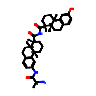 C[C@H](N)C(=O)Nc1ccc2c(c1)[C@@]1(C)CCC[C@](C)(C(=O)NC(=O)[C@@]3(C)CCC[C@]4(C)c5cc(O)ccc5CC[C@@H]34)[C@@H]1CC2